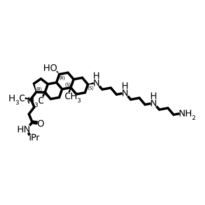 CC(C)NC(=O)CC[C@@H](C)[C@H]1CCC2C3C(CC[C@@]21C)[C@@]1(C)CC[C@H](NCCCNCCCNCCCN)CC1C[C@H]3O